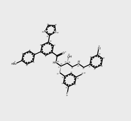 CCCCc1ccc(-c2cc(C(=O)N[C@@H](Cc3cc(F)cc(F)c3)[C@H](O)CNCc3cccc(CC)c3)cc(-c3nccs3)c2)cc1